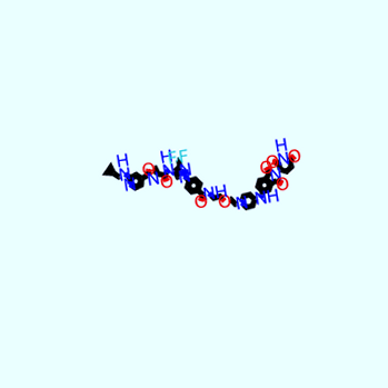 O=C1CCC(N2C(=O)c3ccc(NC4CCN(CCOCCNC(=O)c5ccc(-n6cc(NC(=O)c7coc(-c8ccnc(NCC9CC9)c8)n7)c(C(F)F)n6)cc5)CC4)cc3C2=O)C(=O)N1